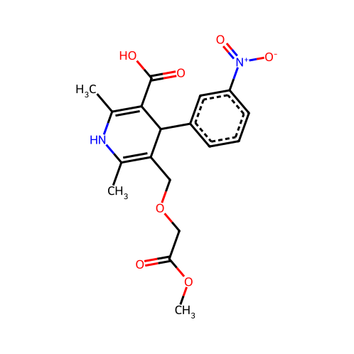 COC(=O)COCC1=C(C)NC(C)=C(C(=O)O)C1c1cccc([N+](=O)[O-])c1